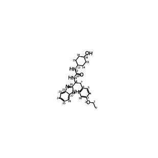 CCOc1ccc(CC(NC(=O)NC2CCC(O)CC2)c2nc3ccccc3[nH]2)cc1